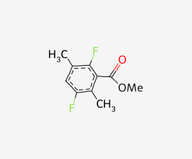 COC(=O)c1c(C)c(F)cc(C)c1F